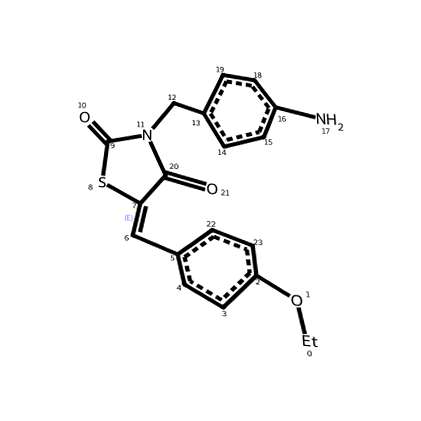 CCOc1ccc(/C=C2/SC(=O)N(Cc3ccc(N)cc3)C2=O)cc1